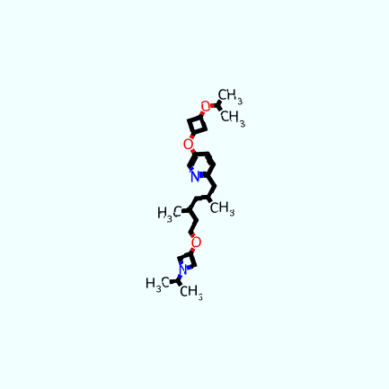 CC(CCOC1CN(C(C)C)C1)CC(C)Cc1ccc(OC2CC(OC(C)C)C2)cn1